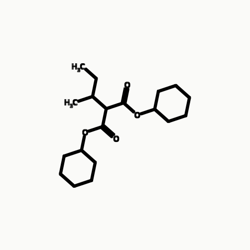 CCC(C)C(C(=O)OC1CCCCC1)C(=O)OC1CCCCC1